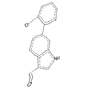 O=Cc1c[nH]c2cc(-c3ccccc3Cl)ccc12